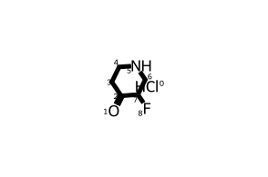 Cl.O=C1CCNCC1F